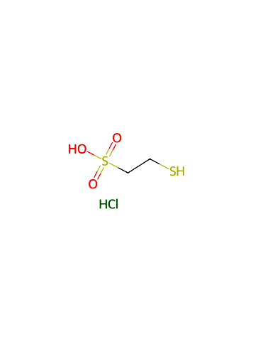 Cl.O=S(=O)(O)CCS